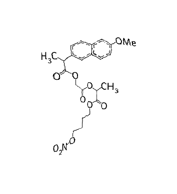 COc1ccc2cc(C(C)C(=O)OCC(=O)OC(C)C(=O)OCCCCO[N+](=O)[O-])ccc2c1